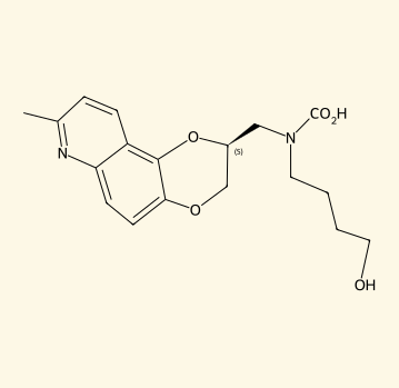 Cc1ccc2c3c(ccc2n1)OC[C@H](CN(CCCCO)C(=O)O)O3